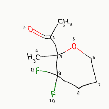 CC(=O)C1(C)OCCCC1(F)F